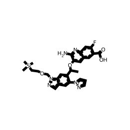 CC(Oc1cc2cc(C(=O)O)c(F)cc2nc1N)c1cc2c(cnn2COCC[Si](C)(C)C)cc1-n1cccn1